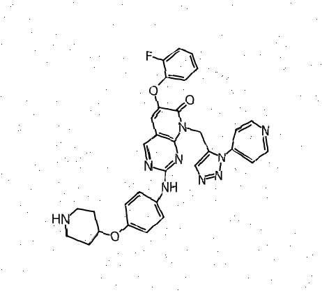 O=c1c(Oc2ccccc2F)cc2cnc(Nc3ccc(OC4CCNCC4)cc3)nc2n1Cc1cnnn1-c1ccncc1